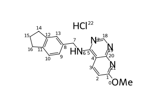 COc1ccc2c(NCc3ccc4c(c3)CCC4)ncnc2n1.Cl